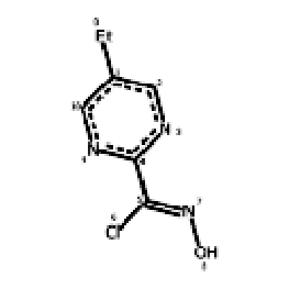 CCc1cnc(/C(Cl)=N/O)nc1